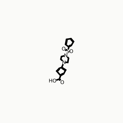 O=C(O)c1ccc(N2CCN(S(=O)(=O)c3ccccc3)CC2)cc1